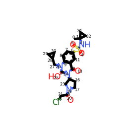 CC1(NS(=O)(=O)c2ccc3c(c2)C(=O)N(C2CCN(C(=O)CCl)C2)C(O)N3CC2CC2)CC1